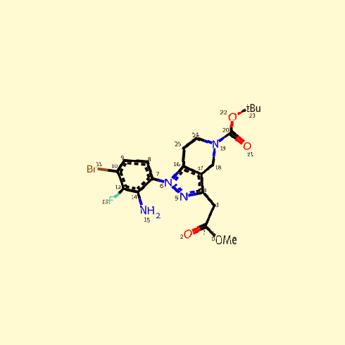 COC(=O)Cc1nn(-c2ccc(Br)c(F)c2N)c2c1CN(C(=O)OC(C)(C)C)CC2